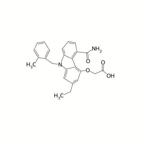 CCc1cc(OCC(=O)O)c2c3c(C(N)=O)cccc3n(Cc3ccccc3C)c2c1